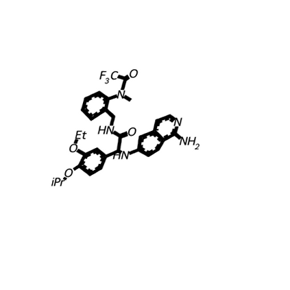 CCOc1cc(C(Nc2ccc3c(N)nccc3c2)C(=O)NCc2ccccc2N(C)C(=O)C(F)(F)F)ccc1OC(C)C